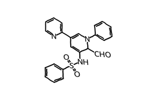 O=CC1C(NS(=O)(=O)c2ccccc2)=CC(c2ccccn2)=CN1c1ccccc1